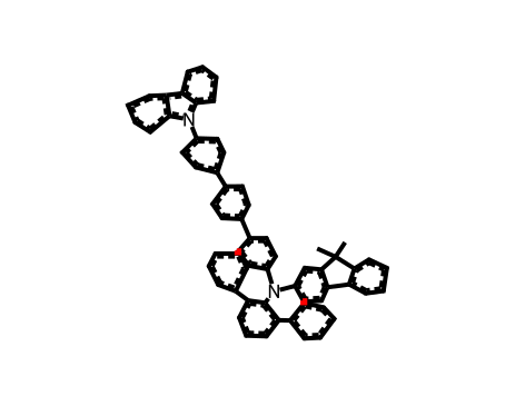 CC1(C)c2ccccc2-c2ccc(N(c3ccc(-c4ccc(-c5ccc(-n6c7ccccc7c7ccccc76)cc5)cc4)cc3)c3c(-c4ccccc4)cccc3-c3ccccc3)cc21